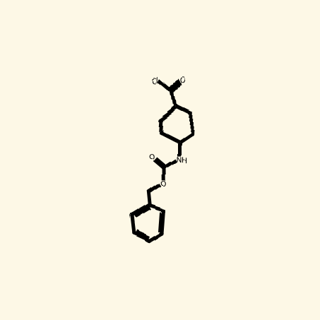 O=C(NC1CCC(C(=O)Cl)CC1)OCc1ccccc1